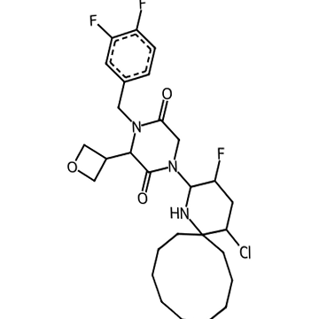 O=C1C(C2COC2)N(Cc2ccc(F)c(F)c2)C(=O)CN1C1NC2(CCCCCCCCC2)C(Cl)CC1F